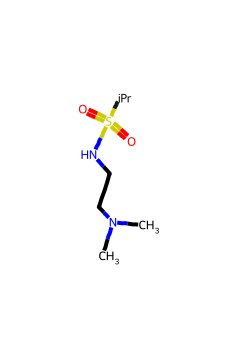 CC(C)S(=O)(=O)NCCN(C)C